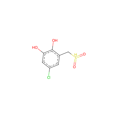 O=[SH](=O)Cc1cc(Cl)cc(O)c1O